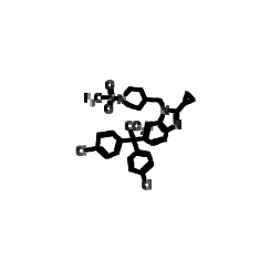 O=C(O)C(c1ccc(Cl)cc1)(c1ccc(Cl)cc1)c1ccc2nc(C3CC3)n(CC3CCN(S(=O)(=O)C(F)(F)F)CC3)c2c1